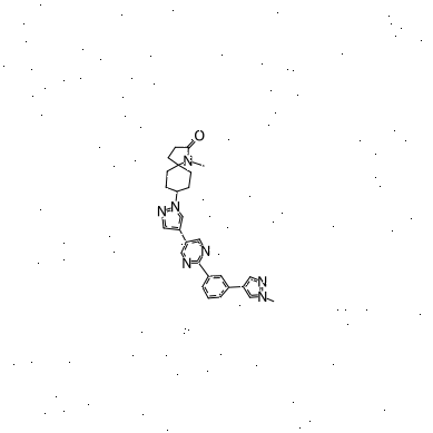 CN1C(=O)CCC12CCC(n1cc(-c3cnc(-c4cccc(-c5cnn(C)c5)c4)nc3)cn1)CC2